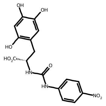 O=C(Nc1ccc([N+](=O)[O-])cc1)N[C@@H](Cc1cc(O)c(O)cc1O)C(=O)O